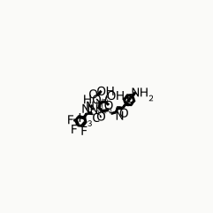 CO[C@@H]1[C@@H](n2cc(-c3cc(F)c(F)c(F)c3)nn2)[C@@H](O)[C@@H](CO)O[C@@H]1Cc1cc(C23CCC(N)(CC2)CC3)on1.O=CO